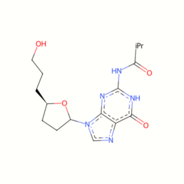 CC(C)C(=O)Nc1nc2c(ncn2C2CC[C@@H](CCCO)O2)c(=O)[nH]1